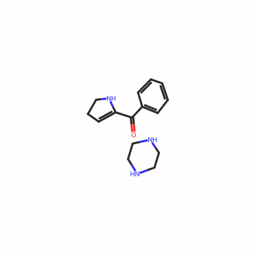 C1CNCCN1.O=C(C1=CCCN1)c1ccccc1